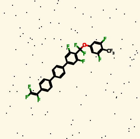 FC(F)=C(F)c1ccc(-c2ccc(-c3cc(F)c(C(F)(F)Oc4cc(F)c(C(F)(F)F)c(F)c4)c(F)c3)cc2)cc1